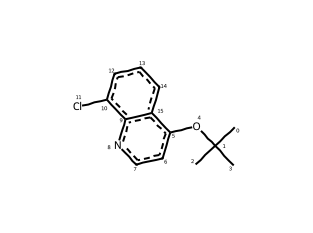 CC(C)(C)Oc1ccnc2c(Cl)cccc12